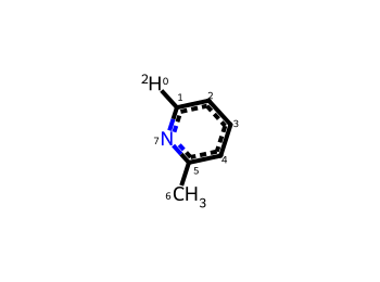 [2H]c1cccc(C)n1